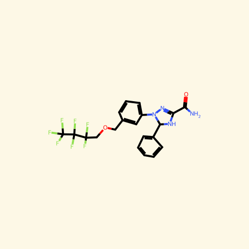 NC(=O)C1=NN(c2cccc(COCC(F)(F)C(F)(F)C(F)(F)F)c2)C(c2ccccc2)N1